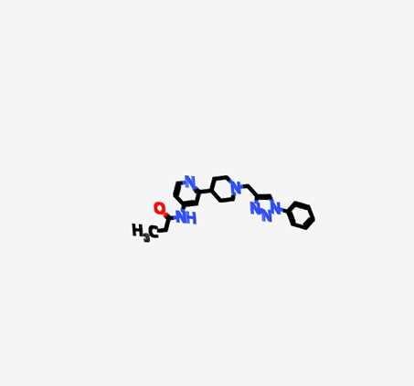 CCC(=O)Nc1ccnc(C2CCN(Cc3cn(-c4ccccc4)nn3)CC2)c1